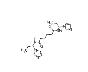 CCC(NC(=O)CCCCC(=O)NC(CC)n1ccnc1)n1ccnc1